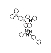 c1ccc(-c2ccc(-c3nc(-c4ccccc4)nc(-c4ccc(-n5c6ccccc6c6ccc7c8cc(-n9c%10ccccc%10c%10ccccc%109)ccc8n(-c8ccccc8)c7c65)cc4)n3)cc2)cc1